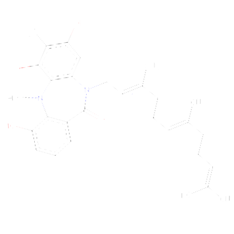 Bc1c(O)cc2c(c1O)N(C)c1c(O)cccc1C(=O)N2C/C=C(\C)CC/C=C(\C)CCC=C(C)C